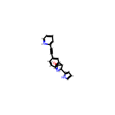 O=C1C2c3cc(C#Cc4ccccn4)ccc3N1C2c1ccc[nH]1